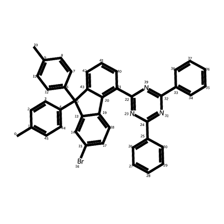 Cc1ccc(C2(c3ccc(C)cc3)c3cc(Br)ccc3-c3c(-c4nc(-c5ccccc5)nc(-c5ccccc5)n4)cccc32)cc1